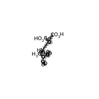 CC(C)(Cc1cc(-c2ccc3c(c2)OCO3)cc(-c2ccc3c(c2)OCO3)c1)OC(=O)NCCCCCCc1cccc(OCCCC(=O)O)c1CCC(=O)O